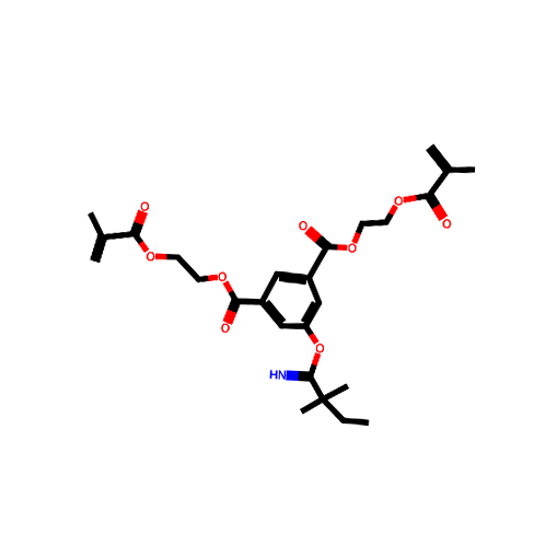 C=C(C)C(=O)OCCOC(=O)c1cc(OC(=N)C(C)(C)CC)cc(C(=O)OCCOC(=O)C(=C)C)c1